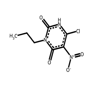 CCCn1c(=O)[nH]c(Cl)c([N+](=O)[O-])c1=O